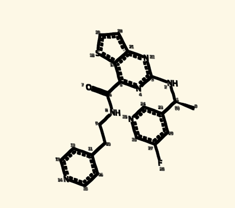 C[C@H](Nc1nc(C(=O)NCCc2ccncc2)c2sccc2n1)c1cncc(F)c1